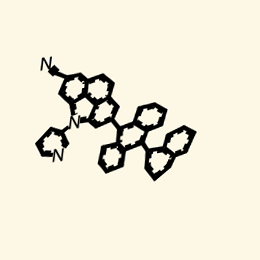 N#Cc1cc2ccc3cc(-c4c5ccccc5c(-c5cccc6ccccc56)c5ccccc45)cc4c3c2c(c1)n4-c1cccnc1